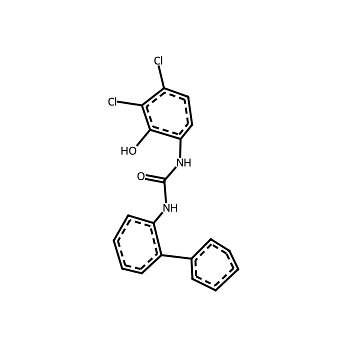 O=C(Nc1ccccc1-c1ccccc1)Nc1ccc(Cl)c(Cl)c1O